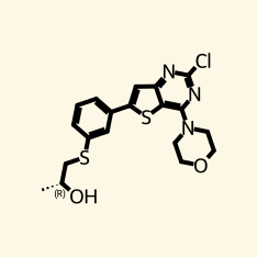 C[C@@H](O)CSc1cccc(-c2cc3nc(Cl)nc(N4CCOCC4)c3s2)c1